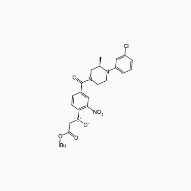 CCC(C)OC(=O)C[S+]([O-])c1ccc(C(=O)N2CCN(c3cccc(Cl)c3)[C@H](C)C2)cc1[N+](=O)[O-]